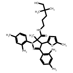 Cc1ccc(C2C(c3ccc(P)cc3P)=NN(c3ccc(P)cc3P)C2(C)C(=O)NCCCC(C)(C)CO)o1